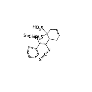 O=S(=O)(O)C1(S(=O)(=O)O)CC=CCC1C(N=C=S)=C(N=C=S)c1ccccc1